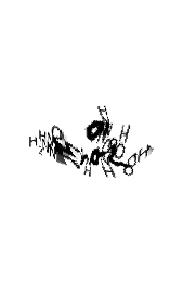 Nc1nc2ncc(CNc3ccc(C(=O)NC(CCC(=O)O)C(=O)O)cc3)nc2c(=O)[nH]1.c1ccc2[nH]nnc2c1